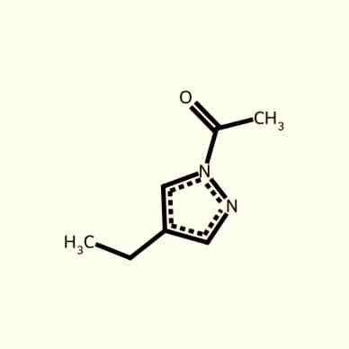 CCc1cnn(C(C)=O)c1